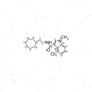 Cn1cc(C(=O)NCCC2CCCCCC2)c2c(Cl)cccc21